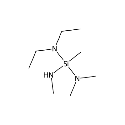 CCN(CC)[Si](C)(NC)N(C)C